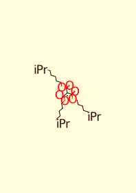 CC(C)CCCCCOC(=O)[C](C(=O)OCCCCCC(C)C)C(=O)OCCCCCC(C)C